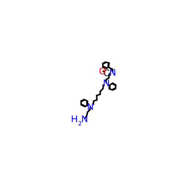 CN(Cc1ccccc1)C(=C=O)CCN(CCCCCCCCN(CCCN)c1ccccc1)c1ccccc1